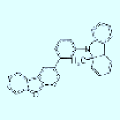 C[C@]12C=CC=CC1c1ccccc1N2c1cccc(-c2ccc3oc4ccccc4c3c2)c1